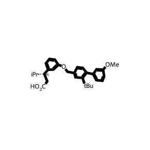 COc1cccc(-c2ccc(COc3cccc([C@H](CC(=O)O)C(C)C)c3)cc2C(C)(C)C)c1